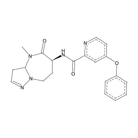 CN1C(=O)[C@@H](NC(=O)c2cc(Oc3ccccc3)ccn2)CCN2N=CCC21